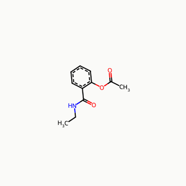 CCNC(=O)c1ccccc1OC(C)=O